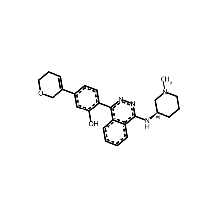 CN1CCC[C@@H](Nc2nnc(-c3ccc(C4=CCCOC4)cc3O)c3ccccc23)C1